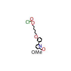 COC(=O)c1cccc(-c2cccc(OCCCCCCOC(=O)Cl)c2)n1